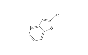 CC(=O)c1cc2ncccc2o1